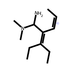 C/C=C\C(=C(CC)CC)C(N)N(C)C